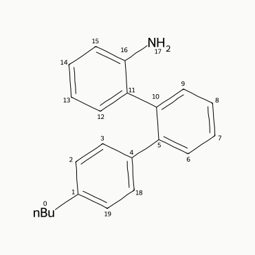 CCCCc1ccc(-c2ccccc2-c2ccccc2N)cc1